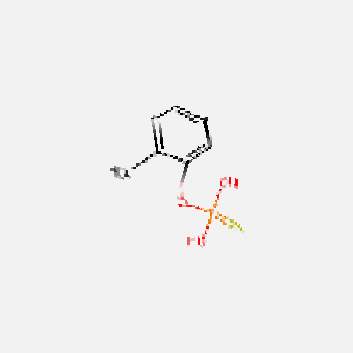 CC(C)(C)c1ccccc1OP(O)(O)=S